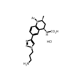 CC(=O)N1c2ccc(-c3cn(CCCN)nn3)cc2[C@H](NC(=O)O)C[C@@H]1C.Cl